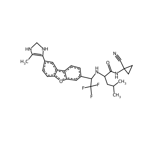 CC1=C(c2ccc3oc4cc(C(NC(CC(C)C)C(=O)NC5(C#N)CC5)C(F)(F)F)ccc4c3c2)NCN1